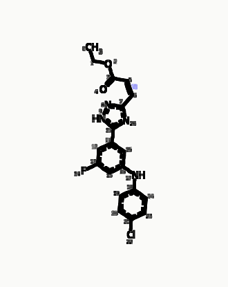 CCOC(=O)/C=C\c1n[nH]c(-c2cc(F)cc(Nc3ccc(Cl)cc3)c2)n1